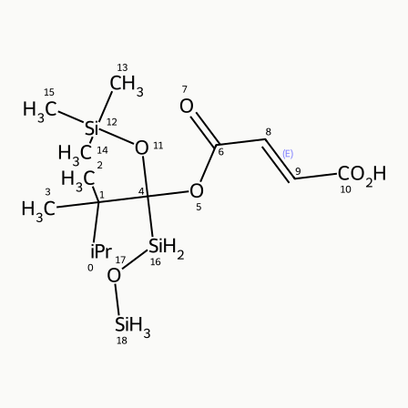 CC(C)C(C)(C)C(OC(=O)/C=C/C(=O)O)(O[Si](C)(C)C)[SiH2]O[SiH3]